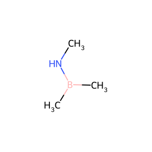 CNB(C)C